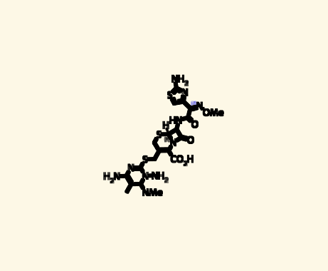 CNC1C(C)=C(N)N=C(SCC2=C(C(=O)O)N3C(=O)C(NC(=O)/C(=N\OC)c4csc(N)n4)[C@@H]3SC2)N1N